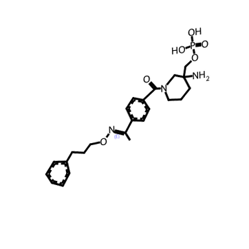 C/C(=N\OCCCc1ccccc1)c1ccc(C(=O)N2CCCC(N)(COP(=O)(O)O)C2)cc1